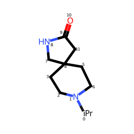 CC(C)N1CCC2(CC1)CNC(=O)C2